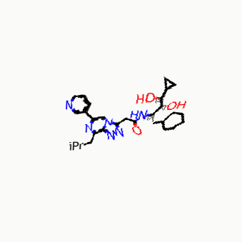 CC(C)Cc1nc(-c2cccnc2)cn2c(CC(=O)N[C@@H](CC3CCCCC3)[C@@H](O)[C@@H](O)C3CC3)nnc12